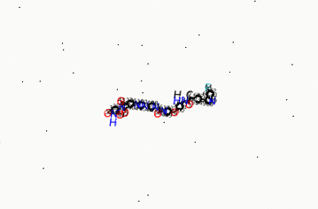 C[C@@H](C(=O)Nc1ccc(OC2CCN(C(=O)CN3CCC(N4CCN(c5ccc6c(c5)C(=O)N(C5CCC(=O)NC5=O)C6=O)CC4)CC3)CC2)cc1)[C@H]1CC[C@@H](c2ccnc3ccc(F)cc32)CC1